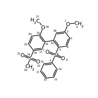 COc1ccc(S(=O)(=O)c2ccccc2)c(-c2cc(S(C)(=O)=O)ccc2OC)c1